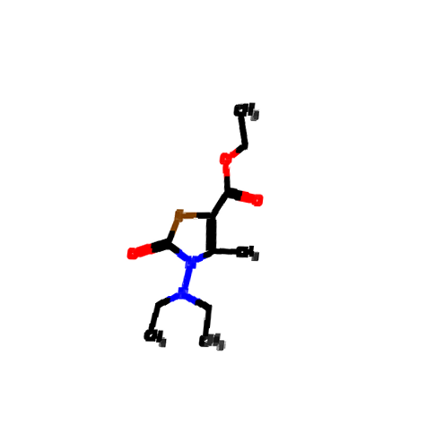 CCOC(=O)c1sc(=O)n(N(CC)CC)c1C